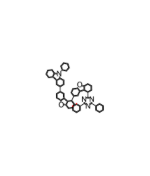 c1ccc(-c2nc(-c3ccccc3)nc(-c3cccc4oc5ccc(-c6cccc7oc8ccc(-c9ccc%10c(c9)c9ccccc9n%10-c9ccccc9)cc8c67)cc5c34)n2)cc1